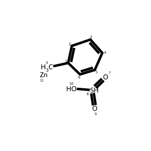 Cc1ccccc1.O=[SH](=O)O.[Zn]